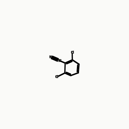 N#[N+]c1c(Cl)cccc1Cl